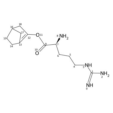 N=C(N)NCCC[C@H](N)C(=O)OC1=C2CCC(C2)C1